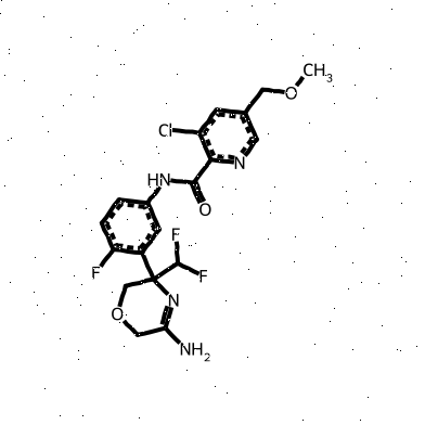 COCc1cnc(C(=O)Nc2ccc(F)c(C3(C(F)F)COCC(N)=N3)c2)c(Cl)c1